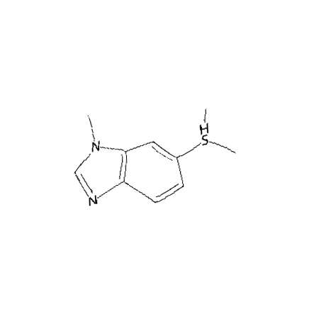 Cn1cnc2ccc([SH](C)C)cc21